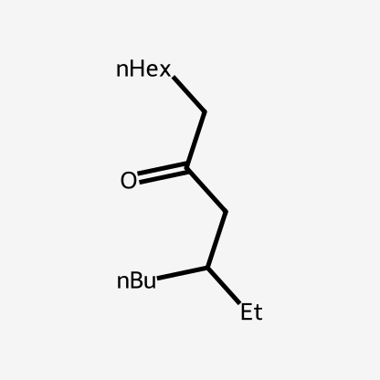 CCCCCCCC(=O)CC(CC)CCCC